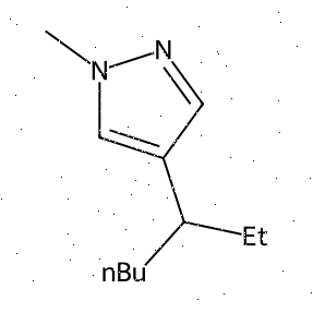 CCCCC(CC)c1cnn(C)c1